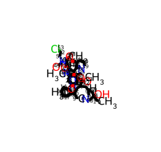 CC[C@]1(O)C[C@@H]2CN(CCc3c([nH]c4ccccc34)[C@@](C(=O)OC)(c3cc4c(cc3OC)N(C)[C@@H]3[C@]45CCN4CC=C[C@@](CC)(C[C@@]36OC(=O)N(CCCl)C6=O)[C@H]45)C2)C1